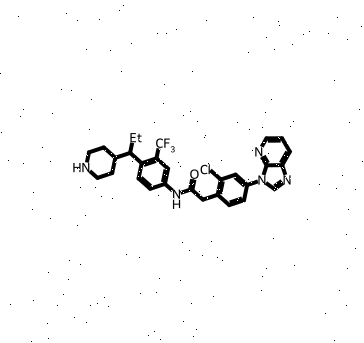 CCC(c1ccc(NC(=O)Cc2ccc(-n3cnc4cccnc43)cc2Cl)cc1C(F)(F)F)C1CCNCC1